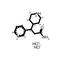 Cl.Cl.NC(=O)CC(c1cccnc1)C1CCNCC1